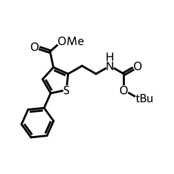 COC(=O)c1cc(-c2ccccc2)sc1CCNC(=O)OC(C)(C)C